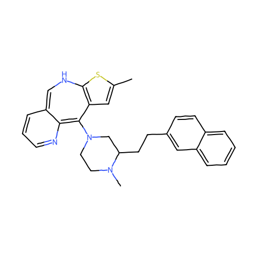 Cc1cc2c(s1)NC=c1cccnc1=C2N1CCN(C)C(CCc2ccc3ccccc3c2)C1